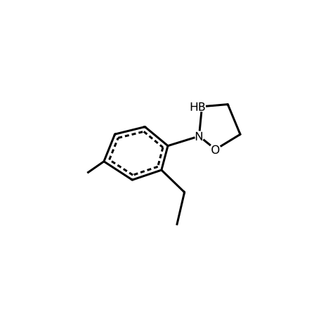 CCc1cc(C)ccc1N1BCCO1